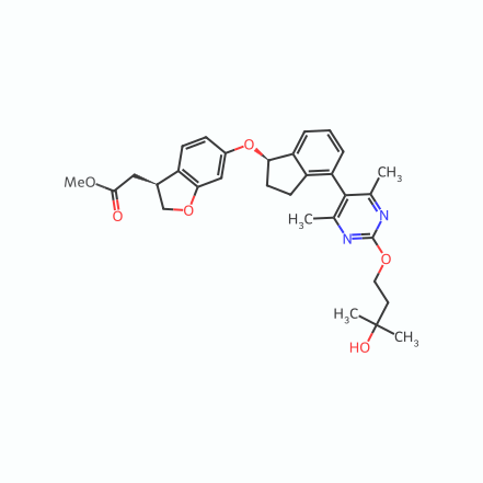 COC(=O)C[C@@H]1COc2cc(O[C@@H]3CCc4c(-c5c(C)nc(OCCC(C)(C)O)nc5C)cccc43)ccc21